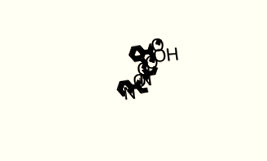 CCC(=NOC(CC)c1ccccn1)OCc1ccccc1C(=COC)C(=O)O